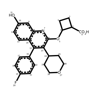 O=C(O)C1CCC1Oc1nc2cc(O)ccc2c(-c2ccc(F)cc2)c1C1CCOCC1